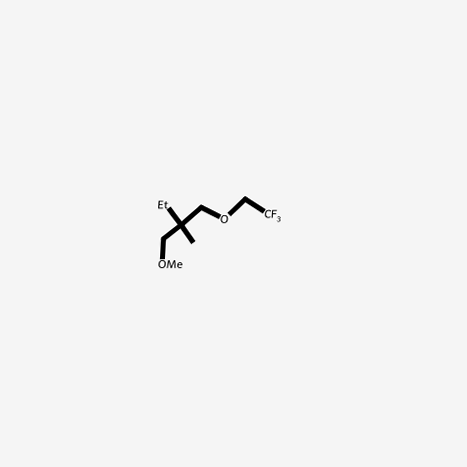 CCC(C)(COC)COCC(F)(F)F